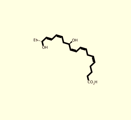 CC[C@@H](O)/C=C/C=C\C[C@@H](O)/C=C\C=C/C/C=C\CCCC(=O)O